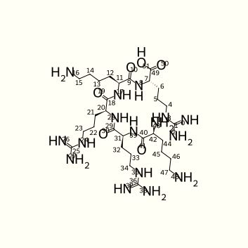 N=C(N)NCCC[C@H](NC(=O)[C@H](CCCCN)NC(=O)[C@H](CCCNC(=N)N)NC(=O)[C@H](CCCNC(=N)N)NC(=O)[C@@H](N)CCCCN)C(=O)O